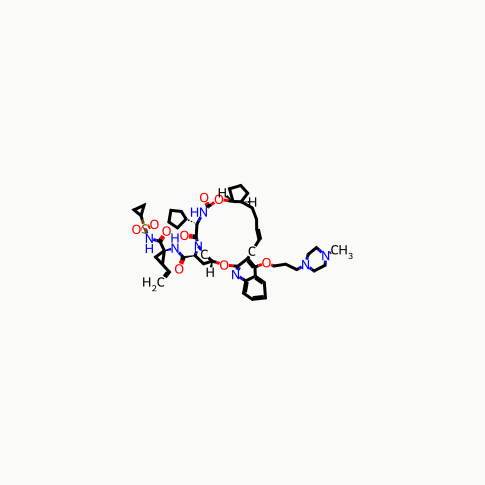 C=CC1C[C@]1(NC(=O)[C@@H]1C[C@@H]2CN1C(=O)[C@H](C1CCCC1)NC(=O)O[C@@H]1CCC[C@H]1CC/C=C/Cc1c(nc3ccccc3c1OCCCN1CCN(C)CC1)O2)C(=O)NS(=O)(=O)C1CC1